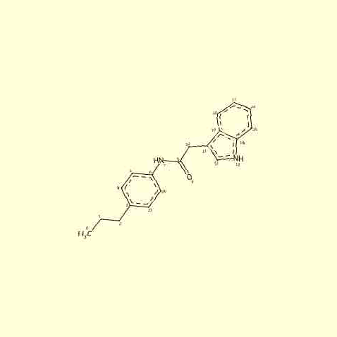 CCCc1ccc(NC(=O)Cc2c[nH]c3ccccc23)cc1